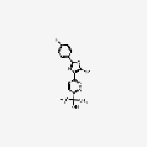 CC(C)(O)c1ccc(-c2nc(-c3ccc(F)cc3)oc2Br)nn1